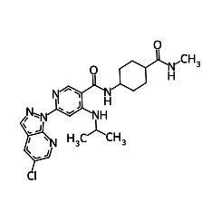 CNC(=O)C1CCC(NC(=O)c2cnc(-n3ncc4cc(Cl)cnc43)cc2NC(C)C)CC1